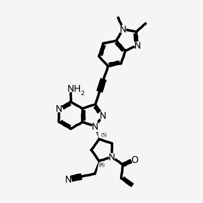 C=CC(=O)N1C[C@@H](n2nc(C#Cc3ccc4c(c3)nc(C)n4C)c3c(N)nccc32)C[C@@H]1CC#N